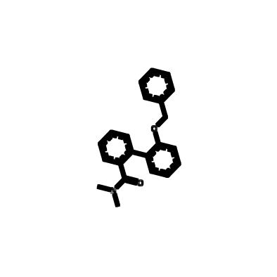 CN(C)C(=O)c1ccccc1-c1ccccc1OCc1ccccc1